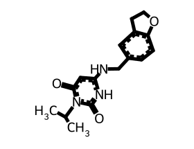 CC(C)n1c(=O)cc(NCc2ccc3c(c2)CCO3)[nH]c1=O